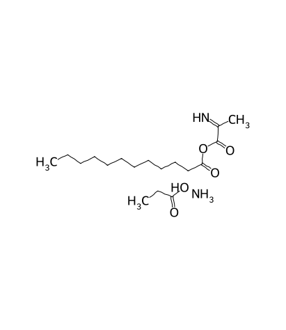 CCC(=O)O.CCCCCCCCCCCC(=O)OC(=O)C(C)=N.N